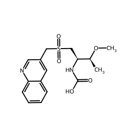 CO[C@@H](C)[C@H](CS(=O)(=O)Cc1cnc2ccccc2c1)NC(=O)O